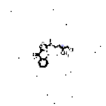 C/C(=C\CNc1ncc(C(=O)c2ccccc2F)s1)CCl